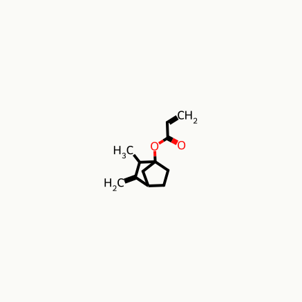 C=CC(=O)OC12CCC(C1)C(=C)C2C